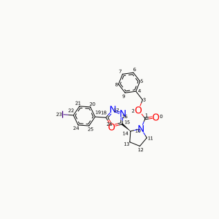 O=C(OCc1ccccc1)N1CCC[C@H]1c1nnc(-c2ccc(I)cc2)o1